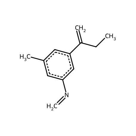 C=Nc1cc(C)cc(C(=C)CC)c1